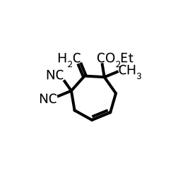 C=C1C(C#N)(C#N)CC=CCC1(C)C(=O)OCC